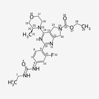 CCNC(=O)Nc1ccc(-c2nc3c(c(N4CCOC[C@@H]4C)n2)CN(C(=O)OCC)C3)c(F)c1